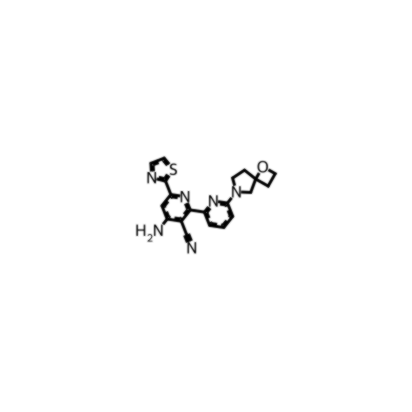 N#Cc1c(N)cc(-c2nccs2)nc1-c1cccc(N2CCC3(CCO3)C2)n1